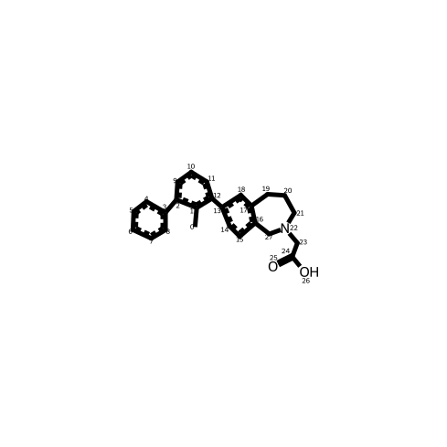 Cc1c(-c2ccccc2)cccc1-c1ccc2c(c1)CCCN(CC(=O)O)C2